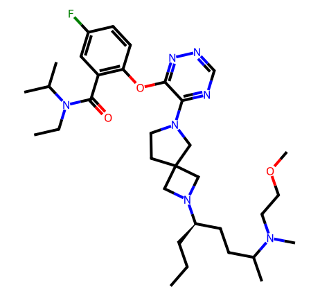 CCC[C@H](CCC(C)N(C)CCOC)N1CC2(CCN(c3ncnnc3Oc3ccc(F)cc3C(=O)N(CC)C(C)C)C2)C1